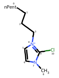 CCCCCCCC[n+]1ccn(C)c1Cl